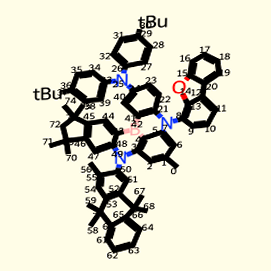 Cc1cc2c3c(c1)N(c1cccc4c1oc1ccccc14)c1ccc(N(c4ccc(C(C)(C)C)cc4)c4ccc(C(C)(C)C)cc4)cc1B3c1cc3c(cc1N2c1cc2c(cc1C)C(C)(C)c1ccccc1C2(C)C)C(C)(C)CC3(C)C